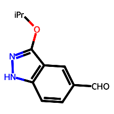 CC(C)Oc1n[nH]c2ccc(C=O)cc12